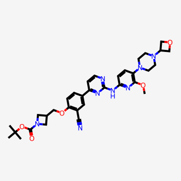 COc1nc(Nc2nccc(-c3ccc(OCC4CN(C(=O)OC(C)(C)C)C4)c(C#N)c3)n2)ccc1N1CCN(C2COC2)CC1